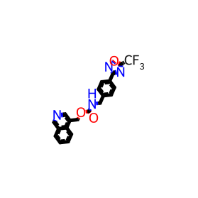 O=C(NCc1ccc(-c2noc(C(F)(F)F)n2)cc1)OCc1cncc2ccccc12